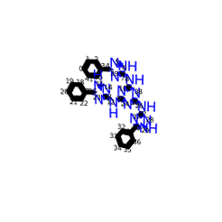 c1ccc(-c2n[nH]c(Nc3nc(Nc4n[nH]c(-c5ccccc5)n4)nc(Nc4n[nH]c(-c5ccccc5)n4)n3)n2)cc1